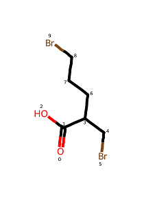 O=C(O)C(CBr)CCCBr